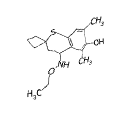 CCONC1CC2(CCC2)Sc2cc(C)c(O)c(C)c21